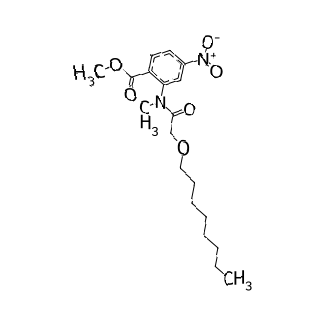 CCCCCCCCOCC(=O)N(C)c1cc([N+](=O)[O-])ccc1C(=O)OC